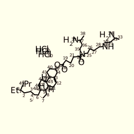 CC[C@H](CC[C@@H](C)[C@H]1CC[C@H]2[C@@H]3CC=C4C[C@@H](OC(=O)CCCC(=O)N(CCCCNCCC(C)N)CCC(C)N)CC[C@]4(C)[C@H]3CC[C@]12C)C(C)C.Cl.Cl.Cl